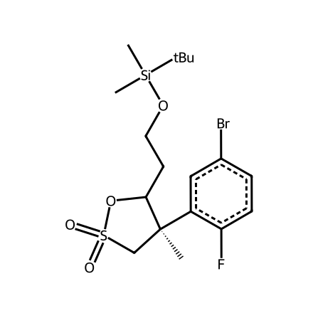 CC(C)(C)[Si](C)(C)OCCC1OS(=O)(=O)C[C@]1(C)c1cc(Br)ccc1F